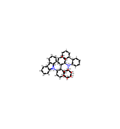 c1ccc(-c2ccccc2N(c2ccccc2)c2ccccc2-c2c(-n3c4ccccc4c4ccccc43)ccc3ccccc23)cc1